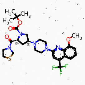 COc1cccc2c(C(F)(F)F)cc(N3CCN([C@H]4C[C@@H](C(=O)N5CCSC5)N(C(=O)OC(C)(C)C)C4)CC3)nc12